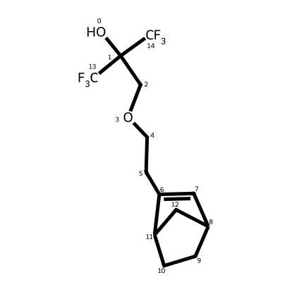 OC(COCCC1=CC2CCC1C2)(C(F)(F)F)C(F)(F)F